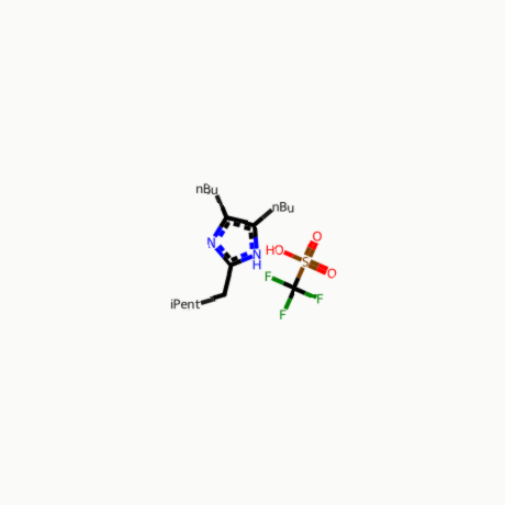 CCCCc1nc(CC(C)CCC)[nH]c1CCCC.O=S(=O)(O)C(F)(F)F